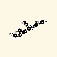 CC(C)c1ccccc1C1CN(Cc2ccc(C(F)(F)F)cc2)CCN1C1CC2(CCN(c3ccc(C(=O)NS(=O)(=O)c4ccc(NCC5CCC(C)(O)CC5)c([N+](=O)[O-])c4)c(Oc4cnc5[nH]ccc5c4)c3)CC2)C1